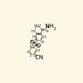 N#Cc1cccc(S(=O)(=O)c2ccc3c(c2)CCCC3CN)c1